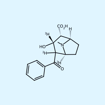 [2H]C1(C(=O)c2ccccc2)[C@]([2H])(O)[C@H](C(=O)O)[C@H]2CC[C@]1([2H])N2C